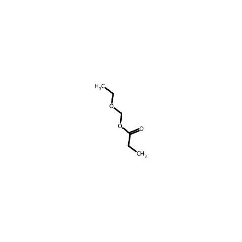 C[CH]C(=O)OCOCC